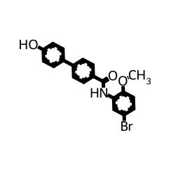 COc1ccc(Br)cc1NC(=O)c1ccc(-c2ccc(O)cc2)cc1